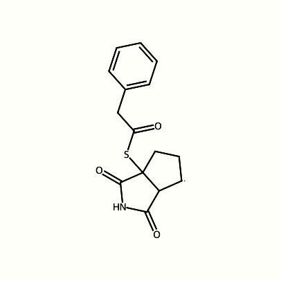 O=C(Cc1ccccc1)SC12CC[CH]C1C(=O)NC2=O